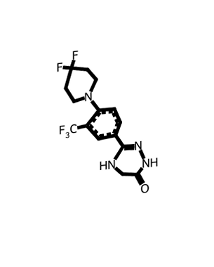 O=C1CNC(c2ccc(N3CCC(F)(F)CC3)c(C(F)(F)F)c2)=NN1